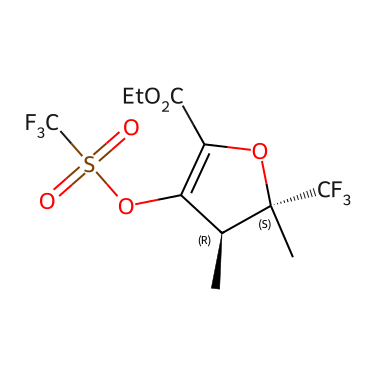 CCOC(=O)C1=C(OS(=O)(=O)C(F)(F)F)[C@H](C)[C@@](C)(C(F)(F)F)O1